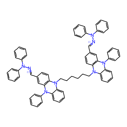 C(=N\N(c1ccccc1)c1ccccc1)/c1ccc2c(c1)N(c1ccccc1)c1ccccc1N2CCCCCCN1c2ccccc2N(c2ccccc2)c2cc(/C=N/N(c3ccccc3)c3ccccc3)ccc21